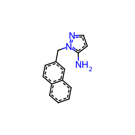 Nc1ccnn1Cc1ccc2ccccc2c1